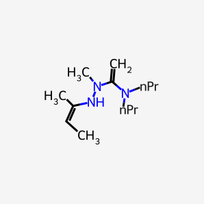 C=C(N(CCC)CCC)N(C)N/C(C)=C\C